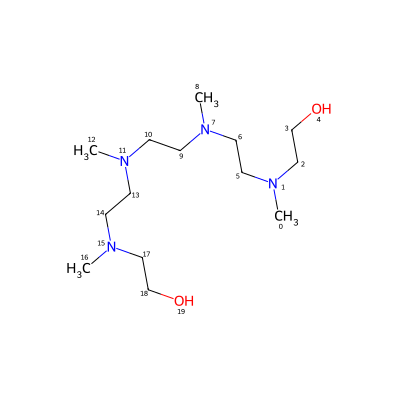 CN(CCO)CCN(C)CCN(C)CCN(C)CCO